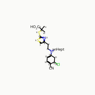 CCCCCCCN(CCc1csc(SC(C)(C)C(=O)O)n1)C1=CC=C(C#N)C(Cl)C1